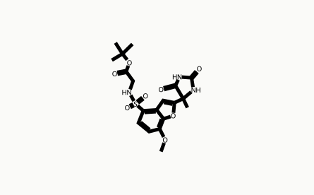 COc1ccc(S(=O)(=O)NCC(=O)OC(C)(C)C)c2cc(C3(C)NC(=O)NC3=O)oc12